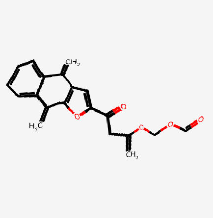 C=C(CC(=O)c1cc2c(=C)c3ccccc3c(=C)c2o1)OCOC=O